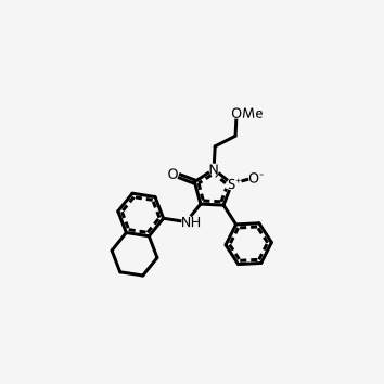 COCCn1c(=O)c(Nc2cccc3c2CCCC3)c(-c2ccccc2)[s+]1[O-]